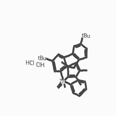 Cl.Cl.[CH2]=[Zr]([CH3])([C]1=C(C)C(C)=CC1C)([c]1ccccc1)[c]1cc(C(C)(C)C)cc2c1Cc1ccc(C(C)(C)C)cc1-2